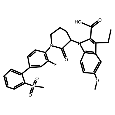 CCc1c(C(=O)O)n(C2CCCN(c3ccc(-c4ccccc4S(C)(=O)=O)cc3F)C2=O)c2ccc(OC)cc12